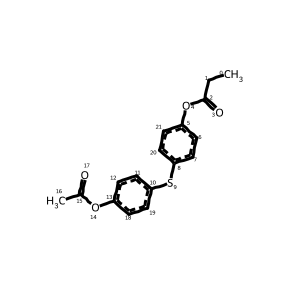 CCC(=O)Oc1ccc(Sc2ccc(OC(C)=O)cc2)cc1